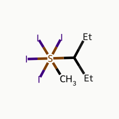 CCC(CC)S(C)(I)(I)(I)I